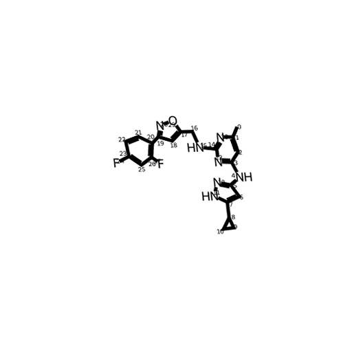 Cc1cc(Nc2cc(C3CC3)[nH]n2)nc(NCc2cc(-c3ccc(F)cc3F)no2)n1